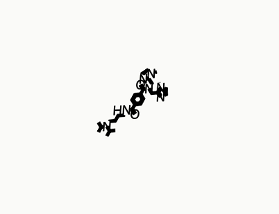 CC(C)N(CCCCNC(=O)c1ccc(C(=O)N(Cc2nccn2C)Cc2nccn2C)cc1)C(C)C